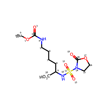 CC(C)(C)OC(=O)NCCCCC(NS(=O)(=O)N1CCOC1=O)C(=O)O